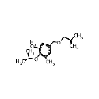 Cc1cc(COCC(C)C)cc(C)c1OC(C)C